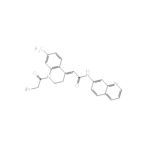 CC(C)CC(=O)N1CCC(=CC(=O)Nc2ccc3cccnc3c2)c2ccc(C(F)(F)F)cc21